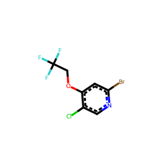 FC(F)(F)COc1cc(Br)ncc1Cl